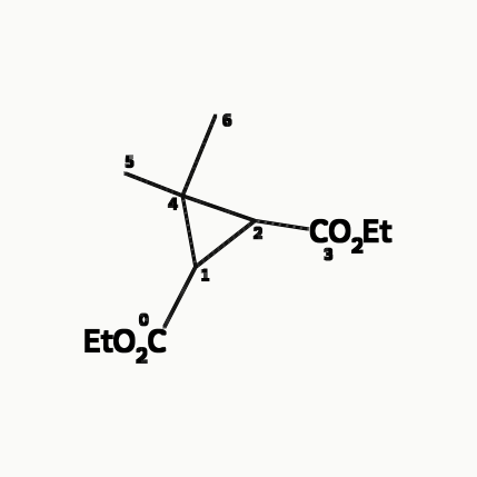 CCOC(=O)C1C(C(=O)OCC)C1(C)C